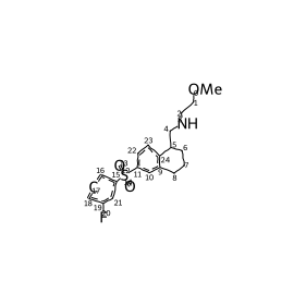 COCCNCC1CCCc2cc(S(=O)(=O)c3cccc(F)c3)ccc21